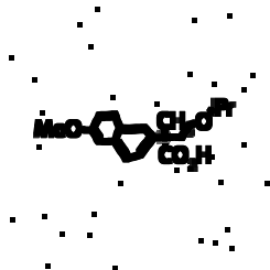 COc1ccc2cc([C@@](C)(CCOC(C)C)C(=O)O)ccc2c1